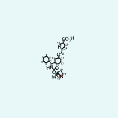 O=C(NC(c1ccccc1)c1cccc(OCc2ccc(C(=O)O)cn2)c1)O[C@H]1CN2CCC1CC2